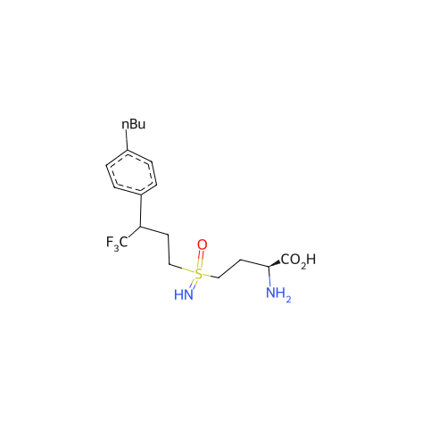 CCCCc1ccc(C(CCS(=N)(=O)CC[C@H](N)C(=O)O)C(F)(F)F)cc1